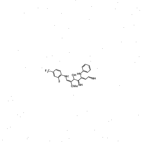 CO/C(=C/Nc1ccc(C(F)(F)F)cc1F)C(O)C(=N)/C(=C/C=N)Nc1ccccc1